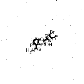 CCc1nc([C@@H](CO)Oc2ccc(F)c(C(N)=O)c2F)oc1Br